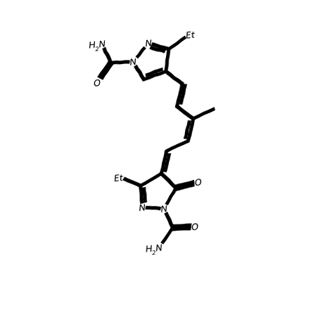 CCC1=NN(C(N)=O)C(=O)C1=CC=C(C)C=Cc1cn(C(N)=O)nc1CC